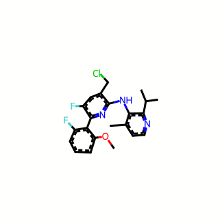 COc1cccc(F)c1-c1nc(Nc2c(C)ccnc2C(C)C)c(CCl)cc1F